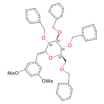 COc1cc(C=C2O[C@H](COCc3ccccc3)[C@@H](OCc3ccccc3)[C@H](OCc3ccccc3)[C@H]2OCc2ccccc2)cc(OC)c1